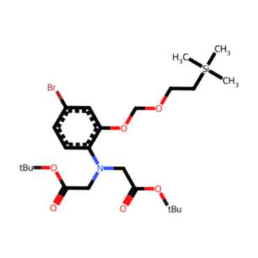 CC(C)(C)OC(=O)CN(CC(=O)OC(C)(C)C)c1ccc(Br)cc1OCOCC[Si](C)(C)C